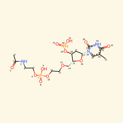 CC(=O)NCCOP(=O)(O)OCCOC[C@H]1O[C@@H](n2cc(C)c(=O)[nH]c2=O)C[C@@H]1O[PH](=O)O